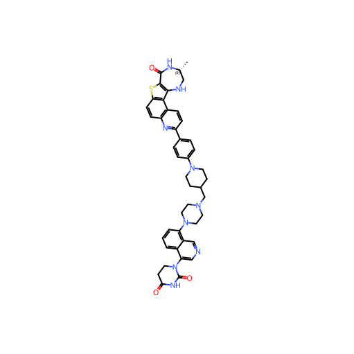 C[C@@H]1CNc2c(sc3ccc4nc(-c5ccc(N6CCC(CN7CCN(c8cccc9c(N%10CCC(=O)NC%10=O)cncc89)CC7)CC6)cc5)ccc4c23)C(=O)N1